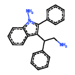 NCC(c1ccccc1)c1c(-c2ccccc2)n(N)c2ccccc12